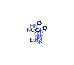 CCn1nc(C)nc1N=Nc1c(Nc2ccccc2)nc(Nc2ccccc2)c(C#N)c1C